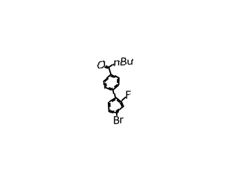 CCCCC(=O)c1ccc(-c2ccc(Br)cc2F)cc1